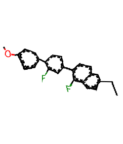 CCc1ccc2c(F)c(-c3ccc(-c4ccc(OC)cc4)c(F)c3)ccc2c1